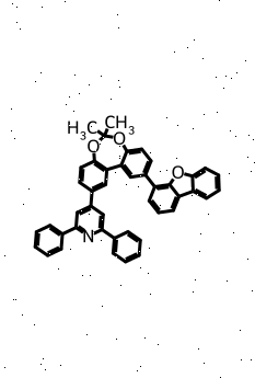 CC1(C)Oc2ccc(-c3cc(-c4ccccc4)nc(-c4ccccc4)c3)cc2-c2cc(-c3cccc4c3oc3ccccc34)ccc2O1